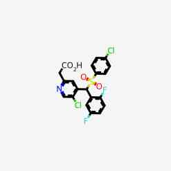 O=C(O)Cc1cc(C(c2cc(F)ccc2F)S(=O)(=O)c2ccc(Cl)cc2)c(Cl)cn1